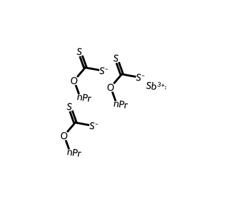 CCCOC(=S)[S-].CCCOC(=S)[S-].CCCOC(=S)[S-].[Sb+3]